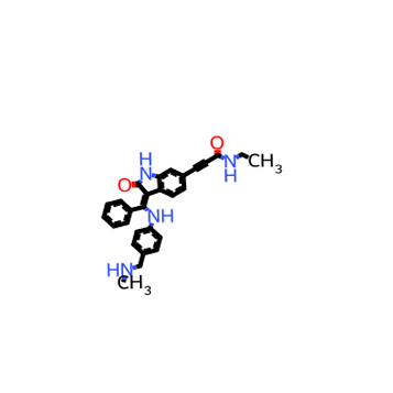 CCNC(=O)C#Cc1ccc2c(c1)NC(=O)/C2=C(/Nc1ccc(CNC)cc1)c1ccccc1